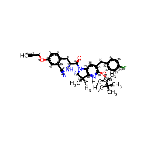 C#CCOc1ccc(C[C@H](N)C(=O)N2CC(C)(C)c3nc(O[Si](C)(C)C(C)(C)C)c(Cc4ccc(F)cc4)cc32)c(C#N)c1